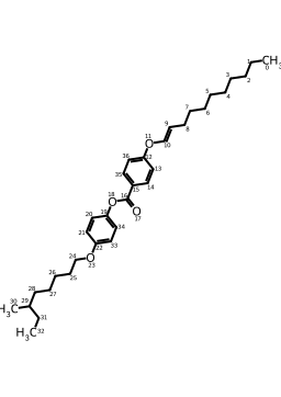 CCCCCCCCCC=COc1ccc(C(=O)Oc2ccc(OCCCCCC(C)CC)cc2)cc1